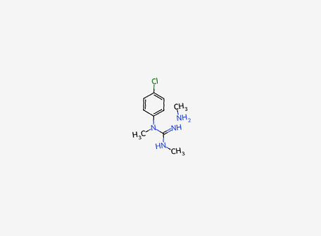 CN.CNC(=N)N(C)c1ccc(Cl)cc1